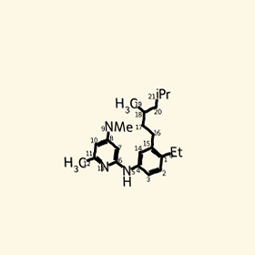 CCc1ccc(Nc2cc(NC)cc(C)n2)cc1CCC(C)CC(C)C